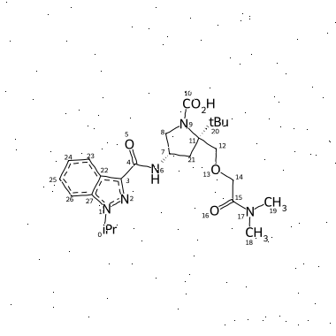 CC(C)n1nc(C(=O)N[C@@H]2CN(C(=O)O)[C@](COCC(=O)N(C)C)(C(C)(C)C)C2)c2ccccc21